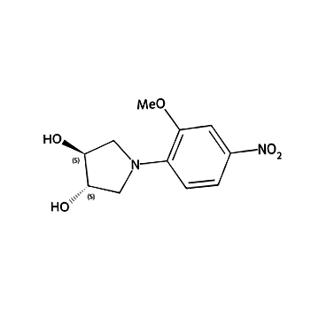 COc1cc([N+](=O)[O-])ccc1N1C[C@H](O)[C@@H](O)C1